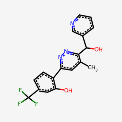 Cc1cc(-c2ccc(C(F)(F)F)cc2O)nnc1C(O)c1cccnc1